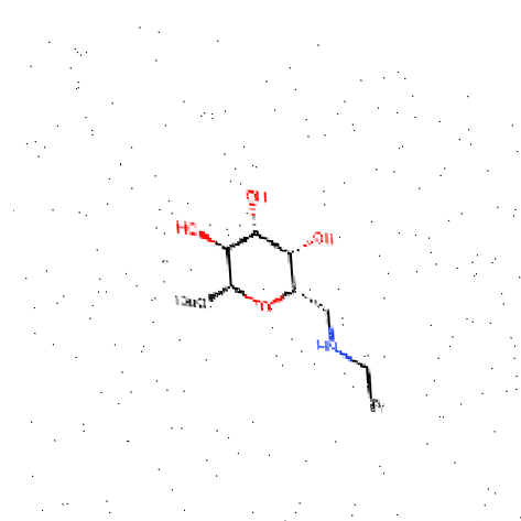 CC(C)CNC[C@@H]1O[C@@H](OCC(C)C)[C@@H](O)[C@H](O)[C@@H]1O